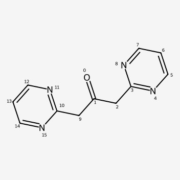 O=C(Cc1ncccn1)Cc1ncccn1